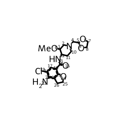 COC1CN(CC2OCCO2)CCC1NC(=O)c1cc(Cl)c(N)c2c1OCC2